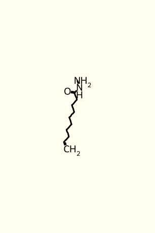 C=CCCCCCCCC(=O)NN